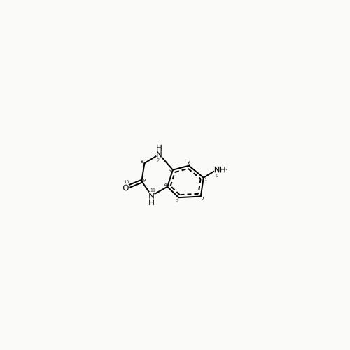 [NH]c1ccc2c(c1)NCC(=O)N2